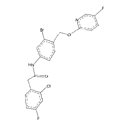 O=C(Cc1ccc(F)cc1Cl)Nc1ccc(COc2ccc(F)cn2)c(Br)c1